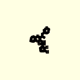 CN(Cc1cccnc1)c1nc2ccccc2nc1NS(=O)(=O)c1cccc(Cl)c1Cl